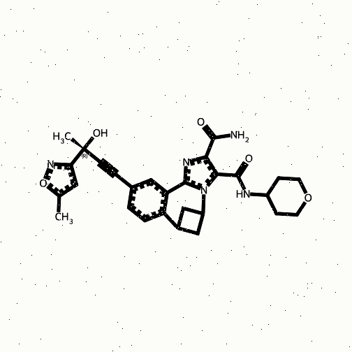 Cc1cc([C@](C)(O)C#Cc2ccc3c(c2)-c2nc(C(N)=O)c(C(=O)NC4CCOCC4)n2C2CC3C2)no1